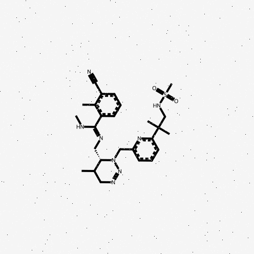 CN/C(=N\C[C@H]1C(C)CN=NN1Cc1cccc(C(C)(C)CNS(C)(=O)=O)n1)c1cccc(C#N)c1C